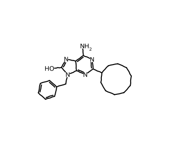 Nc1nc(C2CCCCCCCCC2)nc2c1nc(O)n2Cc1ccccc1